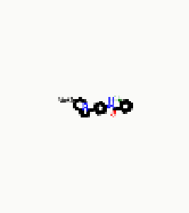 COC1CCn2c(ccc2-c2ccc(NC(=O)c3ccccc3Cl)cc2)C1